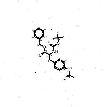 CC(=O)Oc1ccc(C[C@H](NC(=O)OC(C)(C)C)C(=O)OCc2ccccc2)cc1